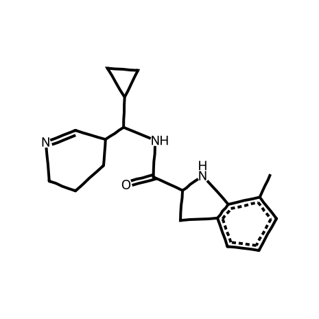 Cc1cccc2c1NC(C(=O)NC(C1C=NCCC1)C1CC1)C2